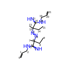 C=CCNC(=N)C(C)(CC)N=NC(C)(CC)C(=N)NCC=C